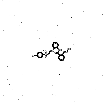 O=C(Nc1ccccc1SCCS(=O)(=O)c1ccc(Cl)cc1)c1ccccc1COO